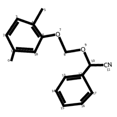 Cc1ccc(C)c(OCOC(C#N)c2ccccc2)c1